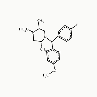 C[C@@H]1CN(C(=O)O)[C@@H](C)CN1C(c1ccc(F)cc1)c1ccc(OC(F)(F)F)cn1